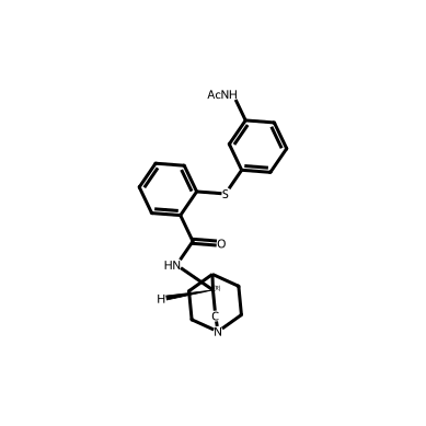 CC(=O)Nc1cccc(Sc2ccccc2C(=O)N[C@H]2CN3CCC2CC3)c1